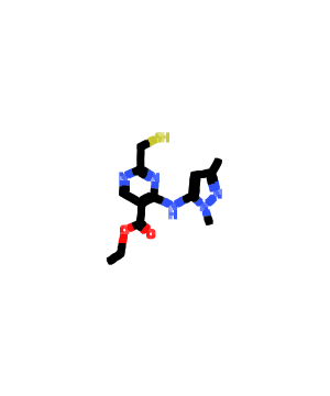 CCOC(=O)c1cnc(CS)nc1Nc1cc(C)nn1C